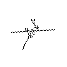 CCCCCCCCCCCCC(CCC(=O)OC(COC(=O)CCCCCCCCCCC)COC(=O)CCCCCCCCCCC)OC(=O)OCCCN(CC)CC